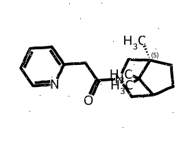 CC1(C)C2CC[C@]1(C)CN(C(=O)Cc1ccccn1)C2